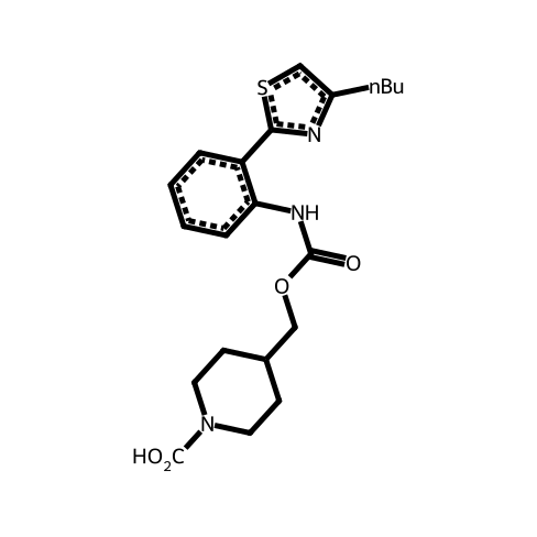 CCCCc1csc(-c2ccccc2NC(=O)OCC2CCN(C(=O)O)CC2)n1